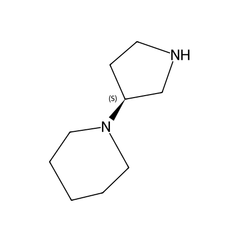 C1CCN([C@H]2CCNC2)CC1